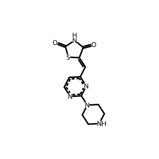 O=C1NC(=O)/C(=C/c2ccnc(N3CCNCC3)n2)S1